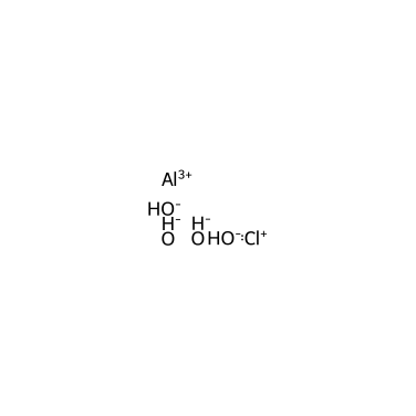 [Al+3].[Cl+].[OH-].[OH-].[OH-].[OH-]